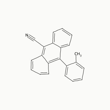 Cc1ccccc1-c1c2ccccc2c(C#N)c2ccccc12